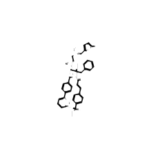 CN(CCN(C)C(=O)C(I)(Cc1ccccc1)N(Cc1ccc(-c2ccccn2)cc1)C(=O)C=Cc1ccc(C(F)(F)F)cc1)Cc1ccc(Cl)s1